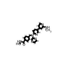 CNc1cc(-c2ccc(N(Cc3ccc(C(=O)NO)cc3)c3cnccn3)nc2)ccn1